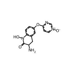 NC1Cc2cc(Oc3cc[n+]([O-])cn3)ccc2N(O)C1=O